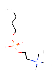 CC(=O)OCCCOP(=O)(O)OCC[N+](C)(C)C